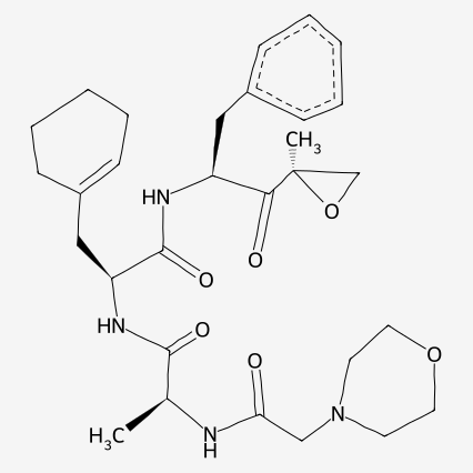 C[C@H](NC(=O)CN1CCOCC1)C(=O)N[C@@H](CC1=CCCCC1)C(=O)N[C@@H](Cc1ccccc1)C(=O)[C@@]1(C)CO1